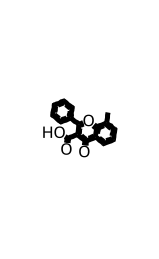 Cc1cccc2c(=O)c(C(=O)O)c(-c3ccccc3)oc12